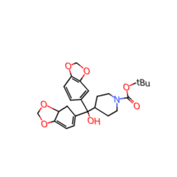 CC(C)(C)OC(=O)N1CCC(C(O)(C2=CC=C3OCOC3C2)c2ccc3c(c2)OCO3)CC1